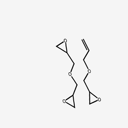 C(OCC1CO1)C1CO1.C=CCOCC1CO1